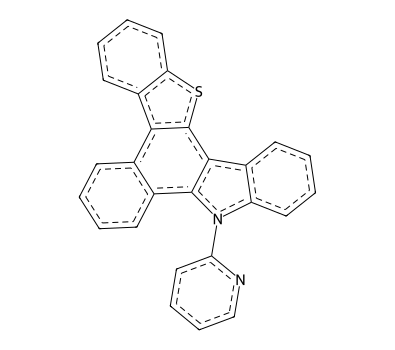 c1ccc(-n2c3ccccc3c3c4sc5ccccc5c4c4ccccc4c32)nc1